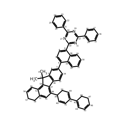 CC1(C)c2cc(-c3ccc(-c4nc(-c5ccccc5)nc(-c5ccccc5)n4)c4ccccc34)ccc2-c2c(C3C=CC(C4=CC=CCC4)=CC3)cc3c(c21)C=CCC3